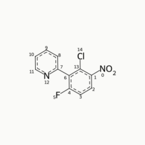 O=[N+]([O-])c1ccc(F)c(-c2ccccn2)c1Cl